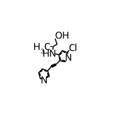 C[C@@H](CCO)Nc1cc(Cl)ncc1C#Cc1cccnc1